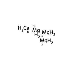 [CaH2].[MgH2].[MgH2].[MgH2]